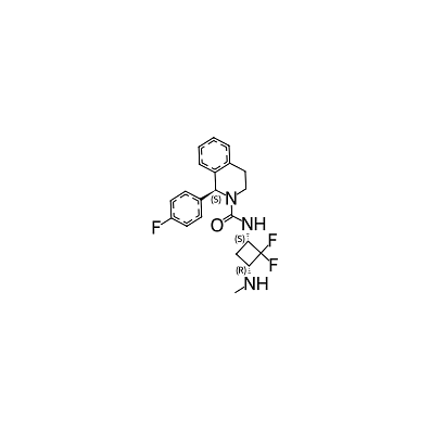 CN[C@@H]1C[C@H](NC(=O)N2CCc3ccccc3[C@@H]2c2ccc(F)cc2)C1(F)F